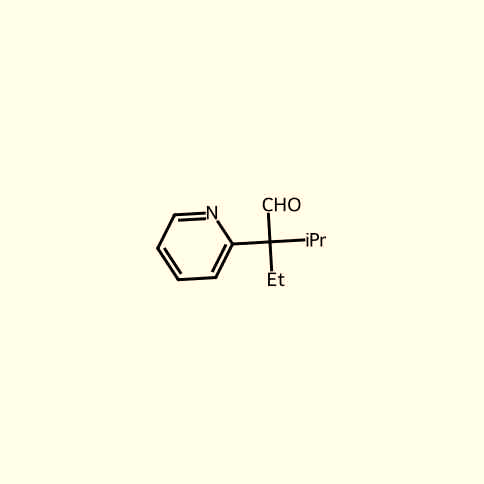 CCC(C=O)(c1ccccn1)C(C)C